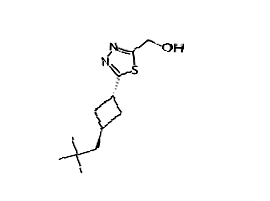 CC(C)(C)C[C@H]1C[C@H](c2nnc(CO)s2)C1